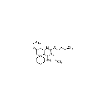 C=CCN1C(=C)C2=C(N=C1SCCCC)c1ccccc1CC21CCCCC1